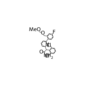 COCOCc1cc(F)ccc1-c1cccc(C(C(N)=O)c2c(Cl)cccc2Cl)n1